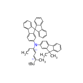 C=C/C(=C\C=C(/C)C(C)(C)C)N(c1ccc2c(c1)C(C)(C)c1ccccc1-2)c1ccc2c(c1)C1(c3ccccc3-c3ccccc31)c1ccccc1-2